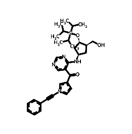 CC(C)[Si](O[C@H]1C[C@H](Nc2ncncc2C(=O)c2ccn(C#Cc3ccccc3)c2)C[C@@H]1CO)(C(C)C)C(C)C